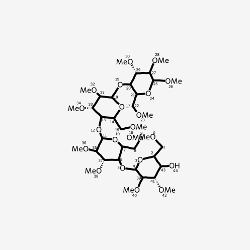 COCC1OC(OC2C(COC)OC(OC3C(COC)OC(OC4C(COC)OC(OC)C(OC)[C@H]4OC)C(OC)[C@H]3OC)C(OC)[C@H]2OC)C(OC)[C@@H](OC)C1O